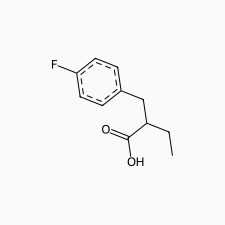 CCC(Cc1ccc(F)cc1)C(=O)O